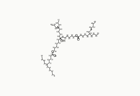 CCCCCCC(CCCC)CCCCC(=O)OCCCCCCC(O)(CCCCCCOC(=O)CCCCC(CCCC)CCCCCC)CCCCN(CCC)CCC